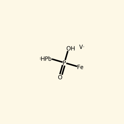 O=[P](O)([Fe])[PbH].[V]